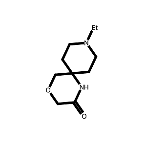 CCN1CCC2(CC1)COCC(=O)N2